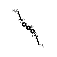 CCCCCCC(F)C(=O)OC1CCC(c2ccc(C3CCC(OC(=O)C(F)CCCCCC)CC3)c(Br)c2)CC1